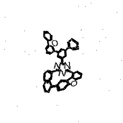 c1ccc(-c2cc(-c3nc(-c4ccccc4)nc(-c4cccc5oc6ccc(-c7ccccc7)cc6c45)n3)cc(-c3cccc4c3oc3ccccc34)c2)cc1